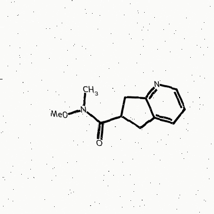 CON(C)C(=O)C1Cc2cccnc2C1